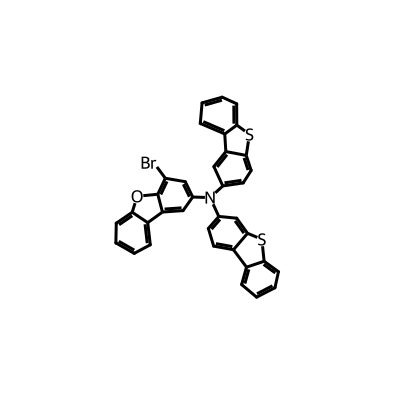 Brc1cc(N(c2ccc3c(c2)sc2ccccc23)c2ccc3sc4ccccc4c3c2)cc2c1oc1ccccc12